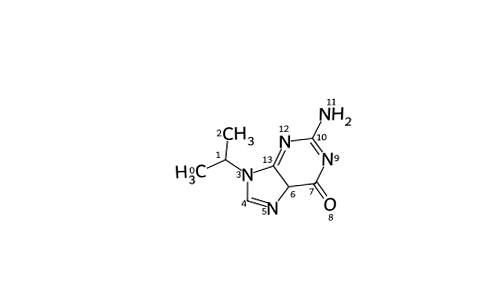 CC(C)N1C=NC2C(=O)N=C(N)N=C21